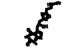 CC(C)NCCc1nc(CC(O)Cn2cnc3c2c(=O)n(C)c(=O)n3C)no1